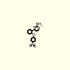 Nc1nccc(-c2ccccc2Oc2ccc([N+](=O)[O-])cc2)n1